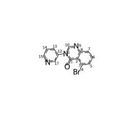 O=c1c2c(Br)cccc2ncn1-c1cccnc1